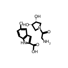 NCC(=O)N1C[C@@H](O)[C@@H](O)C1.O=C(O)c1cc2cc(Cl)ccc2[nH]1